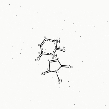 CCN1C(=O)C=CC1=O.O=c1cc[nH]c(=O)[nH]1